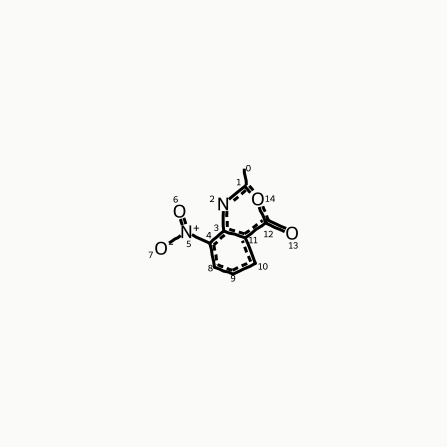 Cc1nc2c([N+](=O)[O-])cccc2c(=O)o1